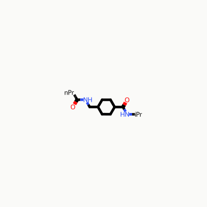 CCCC(=O)NCC1CCC(C(=O)NC(C)C)CC1